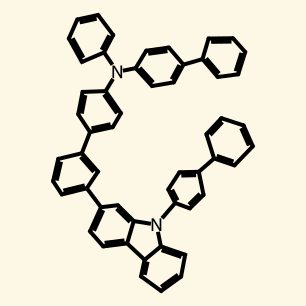 c1ccc(-c2ccc(N(c3ccccc3)c3ccc(-c4cccc(-c5ccc6c7ccccc7n(-c7ccc(-c8ccccc8)cc7)c6c5)c4)cc3)cc2)cc1